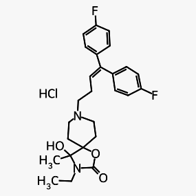 CCN1C(=O)OC2(CCN(CCC=C(c3ccc(F)cc3)c3ccc(F)cc3)CC2)C1(C)O.Cl